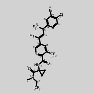 C=C(C(=O)NC1(C(=O)N(C)CC(F)(F)F)CC1)\C(=C/C(=C\C)C(/F)=C/C(c1ccc(Cl)c(Br)c1)C(F)(F)F)C(F)(F)F